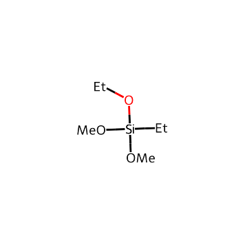 CCO[Si](CC)(OC)OC